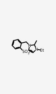 CCN1C=CN(Cc2ccccc2S(=O)(=O)O)C1C